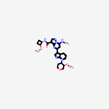 CNc1cc(-c2cnc3n(C4CCOC[C@@H]4OC)cccc2-3)nc2c(C(=O)N[C@H]3CC[C@@H]3OC)cnn12